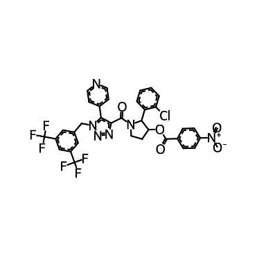 O=C(OC1CCN(C(=O)c2nnn(Cc3cc(C(F)(F)F)cc(C(F)(F)F)c3)c2-c2ccncc2)C1c1ccccc1Cl)c1ccc([N+](=O)[O-])cc1